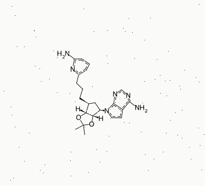 CC1(C)O[C@@H]2[C@@H](CCCc3cccc(N)n3)C[C@@H](n3ccc4c(N)ncnc43)[C@@H]2O1